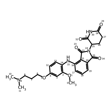 COc1cc(OCCCN(C)C)ccc1Nc1cccc2c1C(=O)N(C1CCC(=O)NC1=O)C2=O